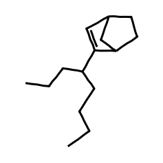 CCCCC(CCC)C1=CC2CCC1C2